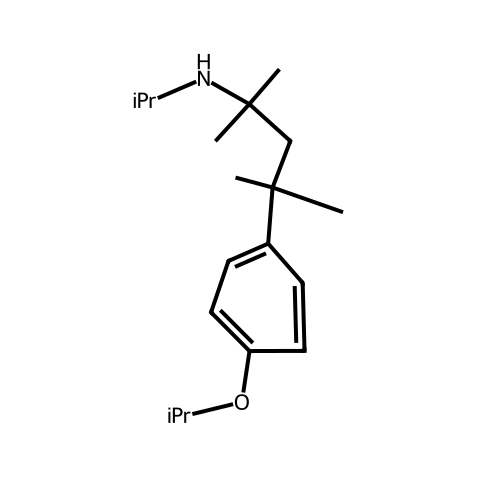 CC(C)NC(C)(C)CC(C)(C)c1ccc(OC(C)C)cc1